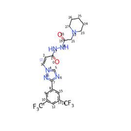 O=C(/C=C\n1cnc(-c2cc(C(F)(F)F)cc(C(F)(F)F)c2)n1)NNC(=O)CN1CCCCC1